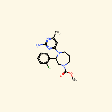 CCCCOC(=O)N1CCCN(c2cc(C)nc(N)n2)C(c2ccccc2Cl)C1